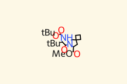 COC(=O)C1CC2(CCC2)CN1C(=O)C(NC(=O)OC(C)(C)C)C(C)(C)C